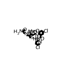 COc1cc(Cl)cc(C(=O)Nc2ccc(Cl)cn2)c1NC(=O)c1scc(CNCC(N)=O)c1Cl